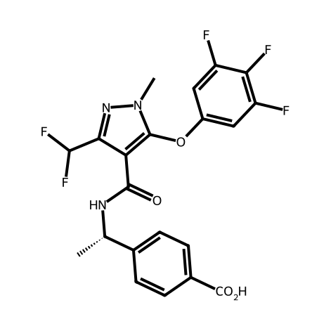 C[C@H](NC(=O)c1c(C(F)F)nn(C)c1Oc1cc(F)c(F)c(F)c1)c1ccc(C(=O)O)cc1